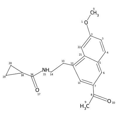 COc1ccc2cc(C(C)=O)cc(CCNC(=O)C3CC3)c2c1